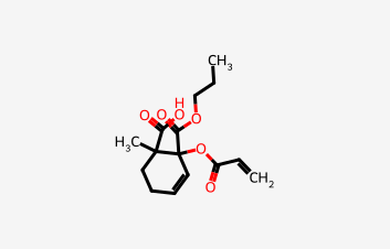 C=CC(=O)OC1(C(=O)OCCC)C=CCCC1(C)C(=O)O